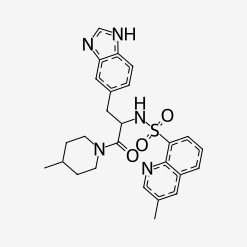 Cc1cnc2c(S(=O)(=O)NC(Cc3ccc4[nH]cnc4c3)C(=O)N3CCC(C)CC3)cccc2c1